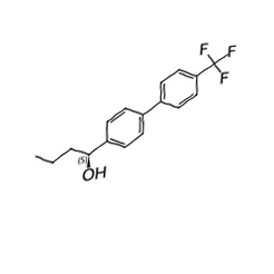 CCC[C@H](O)c1ccc(-c2ccc(C(F)(F)F)cc2)cc1